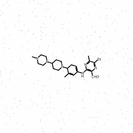 CCc1nc(C=O)c(NC2=CCC(N3CCC(N4CCN(C)CC4)CC3)C(C)=C2)nc1C